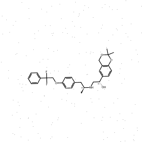 C[C@@H](Cc1ccc(OCC(F)(F)c2ccccc2)cc1)NC[C@@H](O)c1ccc2c(c1)COC(C)(C)O2